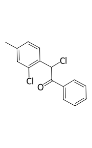 Cc1ccc(C(Cl)C(=O)c2ccccc2)c(Cl)c1